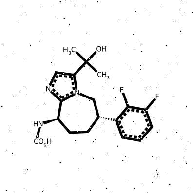 CC(C)(O)c1cnc2n1C[C@H](c1cccc(F)c1F)CC[C@H]2NC(=O)O